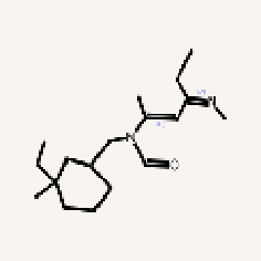 CCC(/C=C(\C)N(C=O)CC1CCCC(C)(CC)C1)=N/C